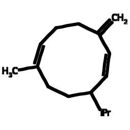 C=C1C=CC(C(C)C)CCC(C)=CCC1